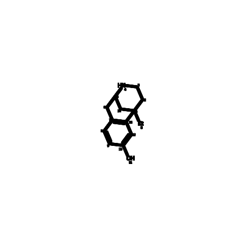 CCC12CCNC(Cc3ccc(O)cc31)C2